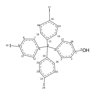 Oc1ccc(C(c2ccc(I)cc2)(c2ccc(I)cc2)c2ccc(I)cc2)cc1